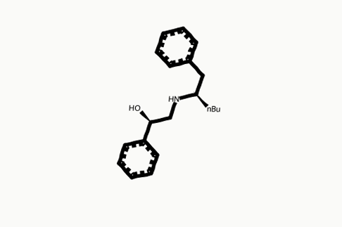 CCCC[C@H](Cc1ccccc1)NC[C@H](O)c1ccccc1